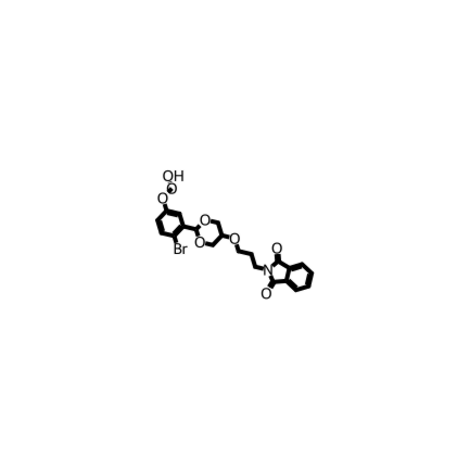 O=C1c2ccccc2C(=O)N1CCCOC1COC(c2cc(OOO)ccc2Br)OC1